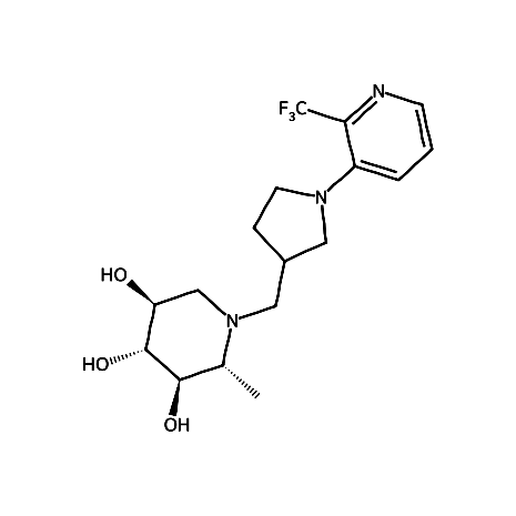 C[C@@H]1[C@@H](O)[C@H](O)[C@@H](O)CN1CC1CCN(c2cccnc2C(F)(F)F)C1